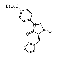 CCOC(=O)c1ccc(N2NC(=O)C(=Cc3ccsc3)C2=O)cc1